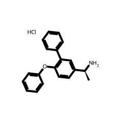 C[C@H](N)c1ccc(Oc2ccccc2)c(-c2ccccc2)c1.Cl